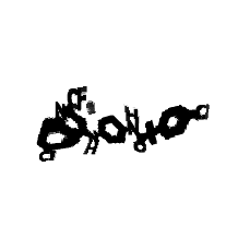 CC(C)(C(=O)N[C@H]1CC[C@@H](Nc2cc(C(F)(F)F)nc3ccc(Cl)cc23)CC1)c1ccc(Cl)cc1